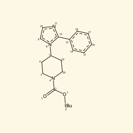 CC(C)(C)OC(=O)N1CCC(n2ccnc2-c2ccccc2)CC1